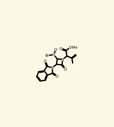 C=C(C)C(C(=O)OC)N1C(=O)C(N2C(=O)c3ccccc3C2=O)C1[S+]([O-])Br